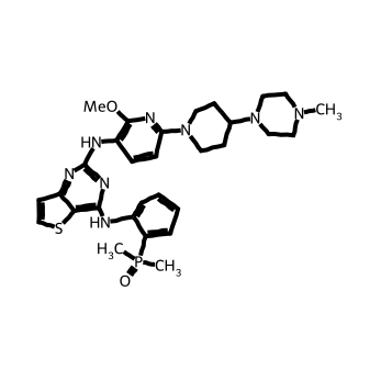 COc1nc(N2CCC(N3CCN(C)CC3)CC2)ccc1Nc1nc(Nc2ccccc2P(C)(C)=O)c2sccc2n1